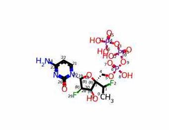 CC(F)[C@]1(COP(=O)(O)OP(=O)(O)OP(=O)(O)O)O[C@@H](n2ccc(N)nc2=O)[C@H](F)[C@@H]1O